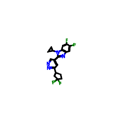 Fc1cc2nc(-c3cnnc(C4CCC(F)(F)C4)c3)n(C3CC3)c2cc1F